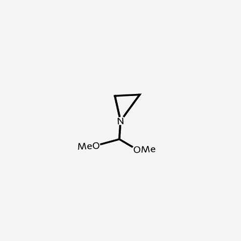 COC(OC)N1CC1